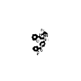 COc1ccccc1C(=O)N1CCC(Nc2cc(-c3ccccc3Cl)nc3c(Br)cnn23)CC1